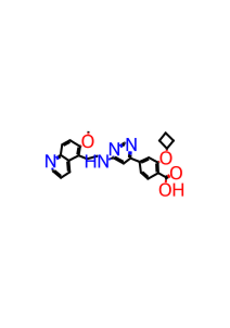 COc1ccc2ncccc2c1CCNc1cc(-c2ccc(C(=O)O)c(OC3CCC3)c2)ncn1